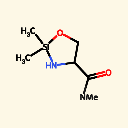 CNC(=O)C1CO[Si](C)(C)N1